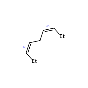 [CH2]C/C=C\C/C=C\CC